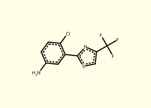 Nc1ccc(Cl)c(-c2nc(C(F)(F)F)cs2)c1